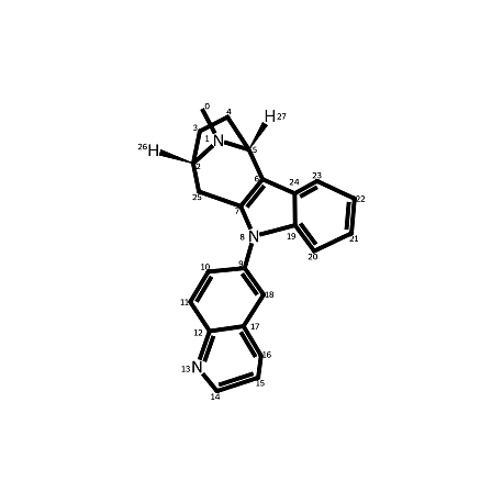 CN1[C@H]2CC[C@@H]1c1c(n(-c3ccc4ncccc4c3)c3ccccc13)C2